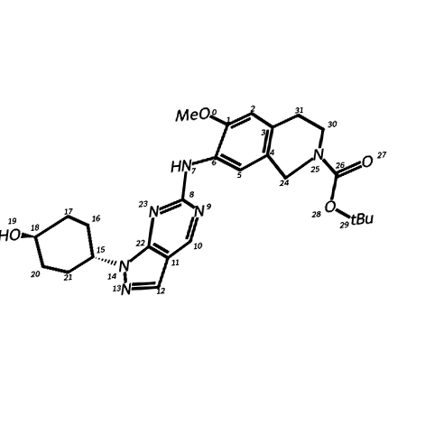 COc1cc2c(cc1Nc1ncc3cnn([C@H]4CC[C@H](O)CC4)c3n1)CN(C(=O)OC(C)(C)C)CC2